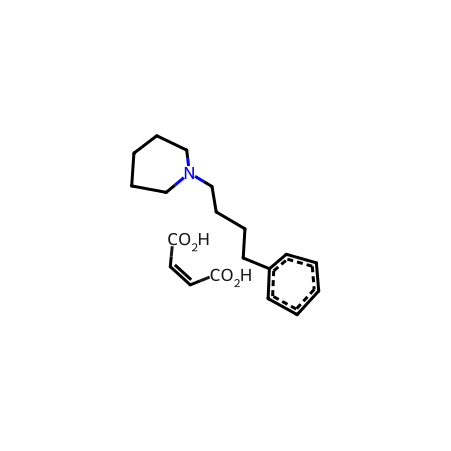 O=C(O)/C=C\C(=O)O.c1ccc(CCCCN2CCCCC2)cc1